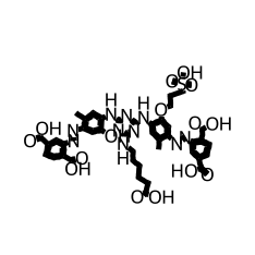 Cc1cc(Nc2nc(NCCCCCC(=O)O)nc(Nc3cc(C)c(N=Nc4cc(C(=O)O)ccc4C(=O)O)cc3OCCCS(=O)(=O)O)n2)c(O)cc1N=Nc1cc(C(=O)O)ccc1C(=O)O